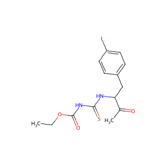 CCOC(=O)NC(=S)NC(Cc1ccc(I)cc1)C(C)=O